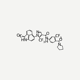 O=C=c1[nH]c2ccc(-n3ncc(C(=O)Nc4ccc(C(=O)N5CCCC5)c(C(F)(F)F)c4)c3C(F)(F)F)c3cccc1c23